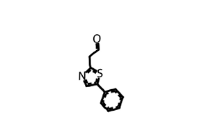 O=CCc1ncc(-c2ccccc2)s1